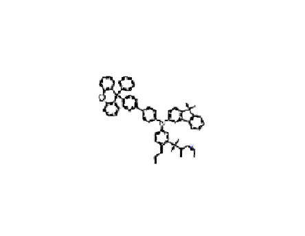 C=CCc1ccc(N(c2ccc(-c3ccc(C4(c5ccccc5)c5ccccc5Oc5ccccc54)cc3)cc2)c2ccc3c(c2)-c2ccccc2C3(C)C)cc1C(C)(C)C(=C)/C=C\C